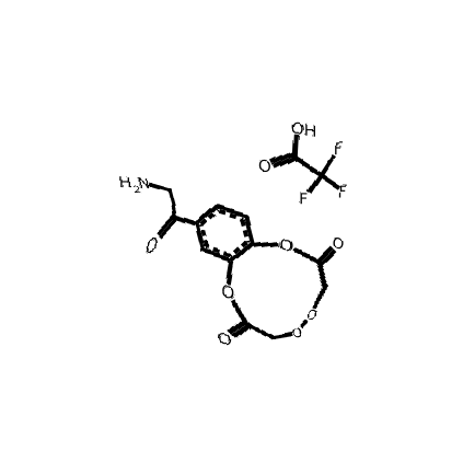 NCC(=O)c1ccc2c(c1)OC(=O)COOCC(=O)O2.O=C(O)C(F)(F)F